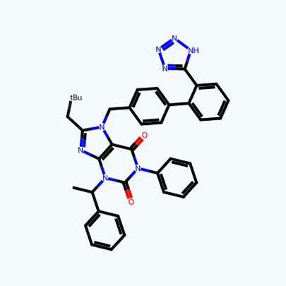 CC(c1ccccc1)n1c(=O)n(-c2ccccc2)c(=O)c2c1nc(CC(C)(C)C)n2Cc1ccc(-c2ccccc2-c2nnn[nH]2)cc1